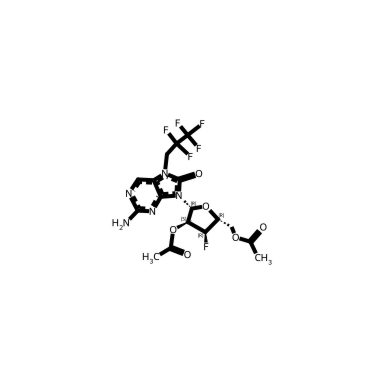 CC(=O)OC[C@H]1O[C@@H](n2c(=O)n(CC(F)(F)C(F)(F)F)c3cnc(N)nc32)[C@H](OC(C)=O)[C@@H]1F